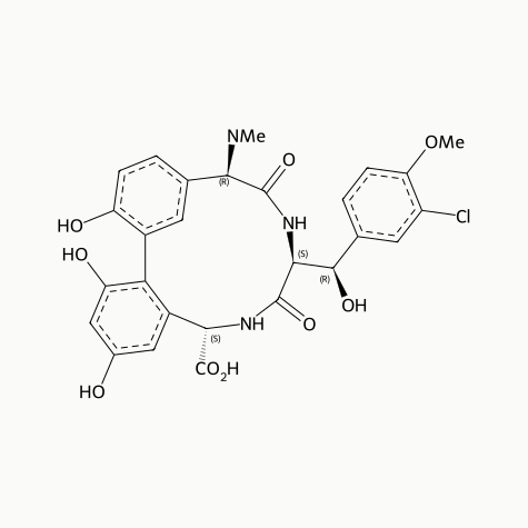 CN[C@H]1C(=O)N[C@@H]([C@H](O)c2ccc(OC)c(Cl)c2)C(=O)N[C@H](C(=O)O)c2cc(O)cc(O)c2-c2cc1ccc2O